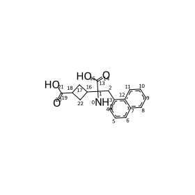 NC(Cc1cccc2ccccc12)(C(=O)O)C1CC(C(=O)O)C1